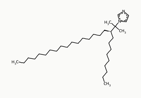 CCCCCCCCCCCCCCCCC[C@H](CCCCCCCCC)C(C)(C)n1ccnc1